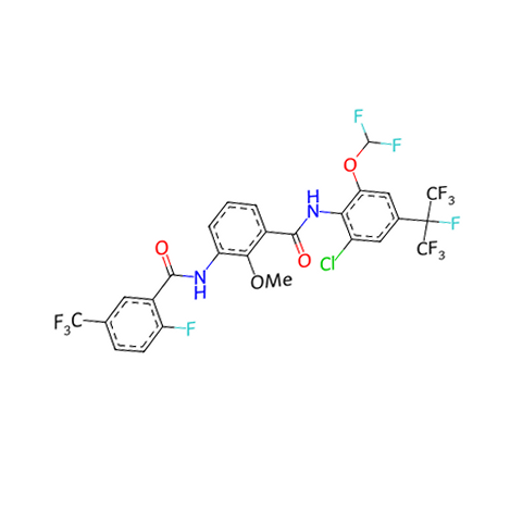 COc1c(NC(=O)c2cc(C(F)(F)F)ccc2F)cccc1C(=O)Nc1c(Cl)cc(C(F)(C(F)(F)F)C(F)(F)F)cc1OC(F)F